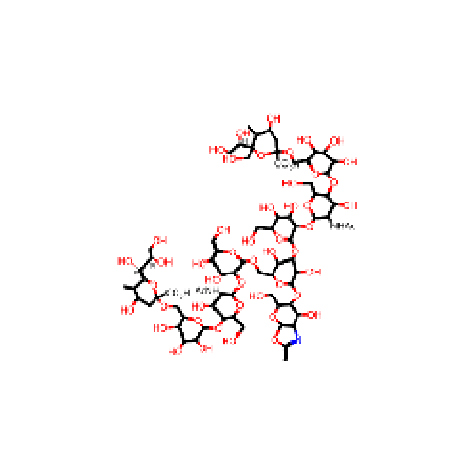 CC(=O)NC1C(OC2C(OCC3OC(OC4C(CO)OC5OC(C)=NC5C4O)C(O)C(OC4OC(CO)C(O)C(O)C4OC4OC(CO)C(OC5OC(COC6(C(=O)O)CC(O)C(C)C(CO)([C@H](O)CO)O6)C(O)C(O)C5O)C(O)C4NC(C)=O)C3O)OC(CO)C(O)C2O)OC(CO)C(OC2OC(COC3(C(=O)O)CC(O)C(C)C([C@H](O)[C@H](O)CO)O3)C(O)C(O)C2O)C1O